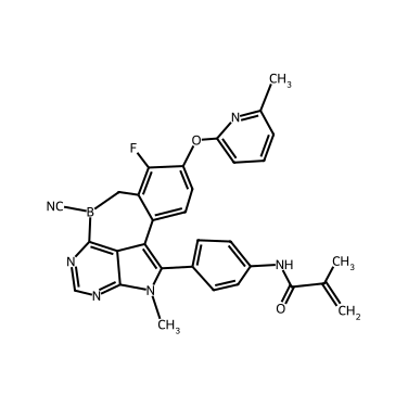 C=C(C)C(=O)Nc1ccc(-c2c3c4c(ncnc4n2C)B(C#N)Cc2c-3ccc(Oc3cccc(C)n3)c2F)cc1